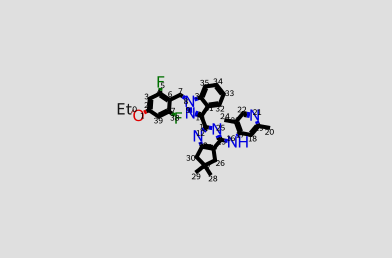 CCOc1cc(F)c(Cn2nc(-c3nc4c(c(Nc5cc(C)ncc5C)n3)CC(C)(C)C4)c3ccccc32)c(F)c1